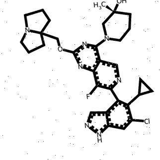 C[C@@]1(O)CCCN(c2nc(OCC34CCCN3CCC4)nc3c(F)c(-c4c(C5CC5)c(Cl)cc5[nH]ncc45)ncc23)C1